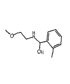 COCCNC(O)c1ccccc1C